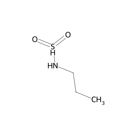 CCCN[SH](=O)=O